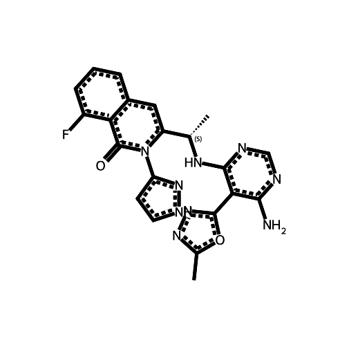 Cc1nnc(-c2c(N)ncnc2N[C@@H](C)c2cc3cccc(F)c3c(=O)n2-c2cc[nH]n2)o1